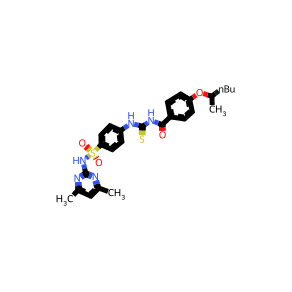 CCCCC(C)Oc1ccc(C(=O)NC(=S)Nc2ccc(S(=O)(=O)Nc3nc(C)cc(C)n3)cc2)cc1